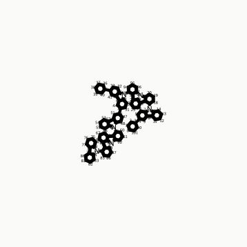 c1ccc(-c2ccc3c(c2)c2ccccc2n3-c2cccc3c2c2cccc4c5c(-n6c7ccc(-c8ccccc8)cc7c7cc(-c8ccc9c(c8)c8ccccc8n9-c8cccc9c8c8cccc%10c%11c(-n%12c%13ccccc%13c%13ccccc%13%12)cccc%11n9c%108)ccc76)cccc5n3c24)cc1